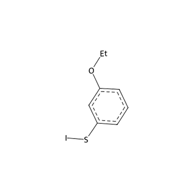 CCOc1cccc(SI)c1